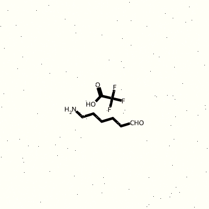 NCCCCCC=O.O=C(O)C(F)(F)F